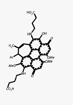 COc1c(NCCCC(=O)O)c2c(=O)cc(OC)c3c4c(OC)cc(=O)c5c(O)c(NCCCC(=O)O)c6c(c(c1C(C(C)=O)C(C)=C6)c23)c54